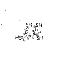 CC(S)C(CSCCS)CSCC(SCCS)C(C)S